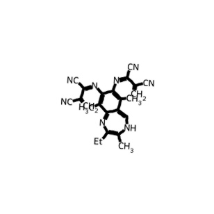 C=C(C#N)/C(C#N)=N\c1c(/N=C(/C#N)C(=C)C#N)c(C)c2c(c1C)=CNC(C)=C(CC)N=2